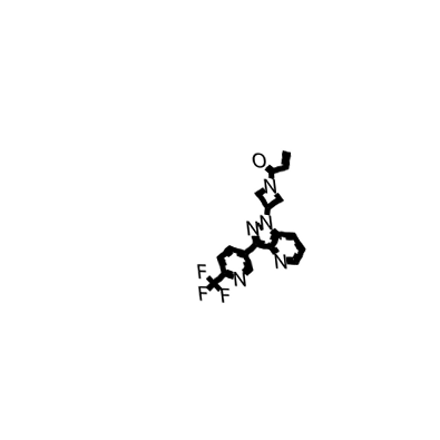 C=CC(=O)N1CC(n2nc(-c3ccc(C(F)(F)F)nc3)c3ncccc32)C1